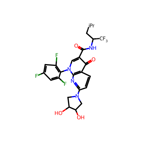 CC(C)CC(NC(=O)c1cn(-c2c(F)cc(F)cc2F)c2nc(N3CC(O)C(O)C3)ccc2c1=O)C(F)(F)F